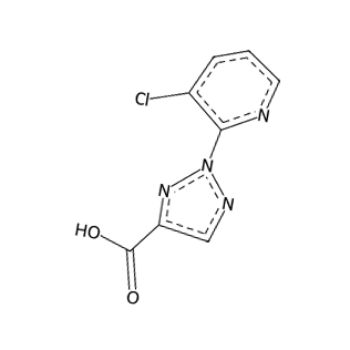 O=C(O)c1cnn(-c2ncccc2Cl)n1